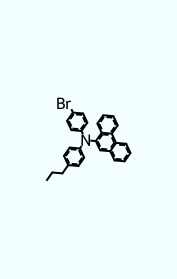 CCCc1ccc(N(c2ccc(Br)cc2)c2cc3ccccc3c3ccccc23)cc1